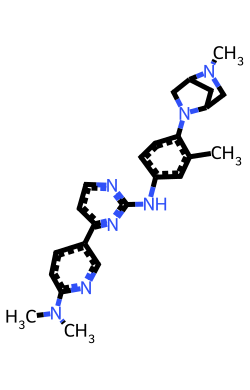 Cc1cc(Nc2nccc(-c3ccc(N(C)C)nc3)n2)ccc1N1CC2CC1CN2C